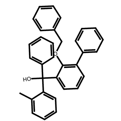 Cc1ccccc1C(O)(c1ccccc1)c1cccc(-c2ccccc2)c1OCc1ccccc1